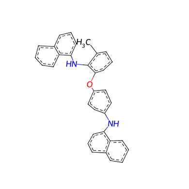 Cc1cccc(Oc2ccc(Nc3cccc4ccccc34)cc2)c1Nc1cccc2ccccc12